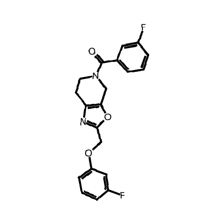 O=C(c1cccc(F)c1)N1CCc2nc(COc3cccc(F)c3)oc2C1